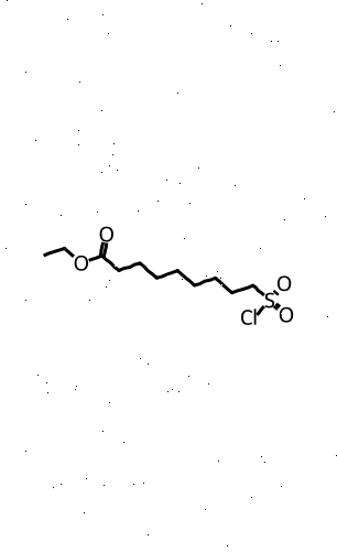 CCOC(=O)CCCCCCCCS(=O)(=O)Cl